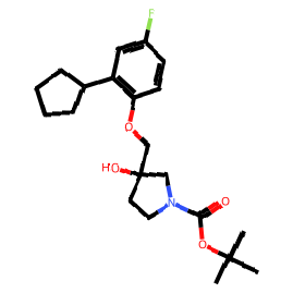 CC(C)(C)OC(=O)N1CCC(O)(COc2ccc(F)cc2C2CCCC2)C1